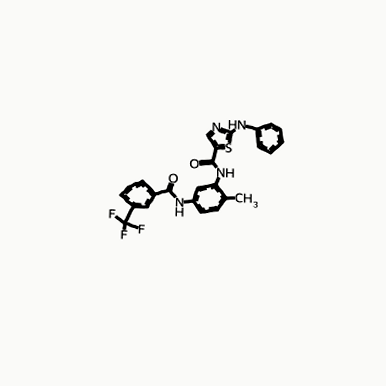 Cc1ccc(NC(=O)c2cccc(C(F)(F)F)c2)cc1NC(=O)c1cnc(Nc2ccccc2)s1